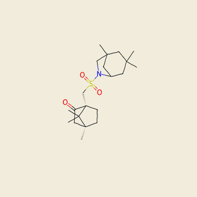 CC1(C)CC2CC(C)(CN2S(=O)(=O)C[C@@]23CC[C@@](C)(CC2=O)C3(C)C)C1